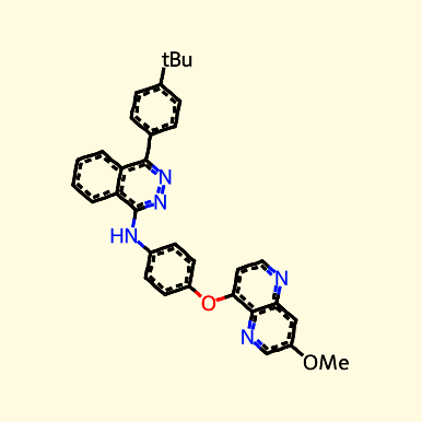 COc1cnc2c(Oc3ccc(Nc4nnc(-c5ccc(C(C)(C)C)cc5)c5ccccc45)cc3)ccnc2c1